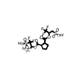 CC(OC(=O)C1CCCC1C(=O)OC(CS(=O)(=O)O)C(F)(F)F)C(F)(F)S(=O)(=O)O